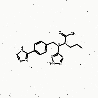 CCC[C@H](C(=O)O)[C@H](Cc1ccc(-c2nnn[nH]2)cc1)c1nn[nH]n1